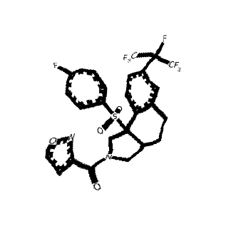 O=C(c1ccon1)N1CC2CCc3cc(C(F)(C(F)(F)F)C(F)(F)F)ccc3C2(S(=O)(=O)c2ccc(F)cc2)C1